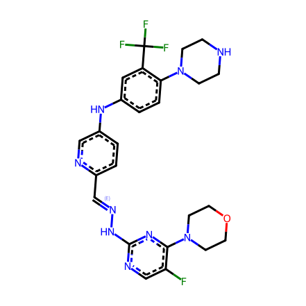 Fc1cnc(N/N=C/c2ccc(Nc3ccc(N4CCNCC4)c(C(F)(F)F)c3)cn2)nc1N1CCOCC1